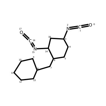 O=C=NC1CCC(CC2CCCCC2)C(N=C=O)C1